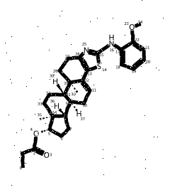 CCC(=O)O[C@H]1CC[C@H]2[C@@H]3CC=C4c5sc(Nc6ccccc6OC)nc5CC[C@]4(C)[C@H]3CC[C@]12C